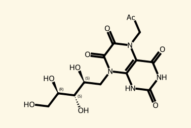 CC(=O)Cn1c(=O)c(=O)n(C[C@H](O)[C@H](O)[C@H](O)CO)c2[nH]c(=O)[nH]c(=O)c21